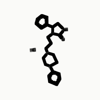 Cl.O=C1NCC(c2ccccc2)N1CCCN1CCN(c2ccccc2)CC1